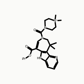 CC(C)OC(=O)C1=CN(C(=O)N2CC[N+](C)(C)CC2)CC(C)(C)c2c1[nH]c1cccnc21